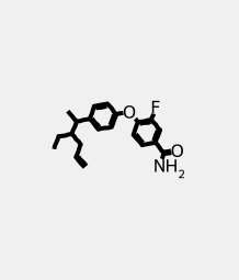 C=CCC(CC)C(C)c1ccc(Oc2ccc(C(N)=O)cc2F)cc1